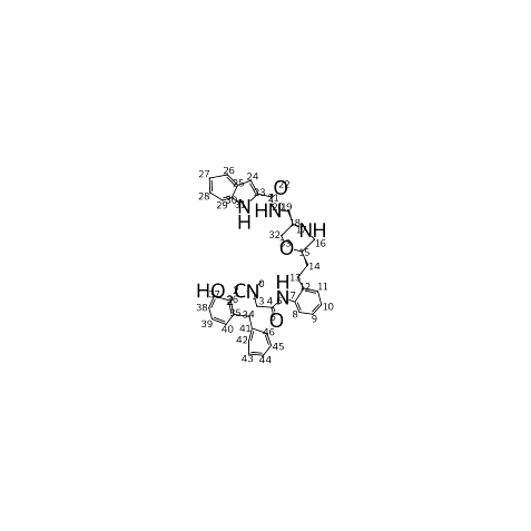 CN(C(=O)O)[C@H](C(=O)Nc1ccccc1CC[C@@H]1CN[C@H](CNC(=O)c2cc3ccccc3[nH]2)CO1)C(c1ccccc1)c1ccccc1